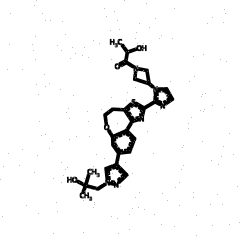 CC(O)C(=O)N1CC(n2ccnc2-c2nc3c(s2)CCOc2cc(-c4cnn(CC(C)(C)O)c4)ccc2-3)C1